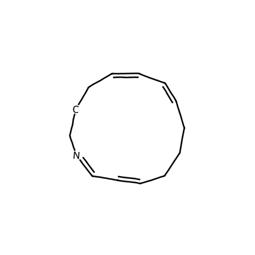 C1=CCCCC=CC=NCCCC=C1